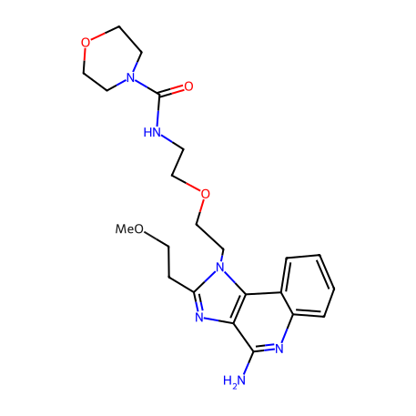 COCCc1nc2c(N)nc3ccccc3c2n1CCOCCNC(=O)N1CCOCC1